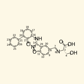 O=C(O)[C@H](CO)N=Cc1ccc2onc(Nc3cccc(-c4ccccc4)c3Cl)c2c1